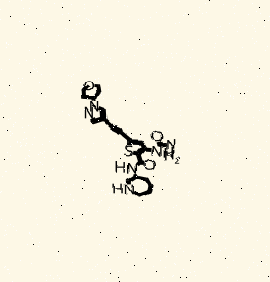 NC(=O)Nc1cc(C#Cc2cnn(C3CCOCC3)c2)sc1C(=O)NC1CCCCNC1